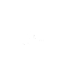 CCCCn1cccc1C(N)=O